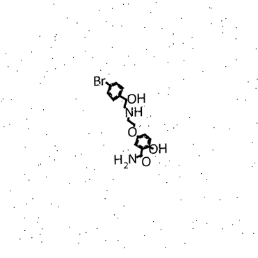 NC(=O)c1cc(OCCNCC(O)c2ccc(Br)cc2)ccc1O